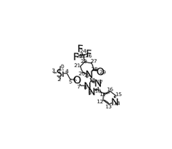 C[Si](C)(C)CCOCn1nc(-c2ccncc2)nc1N1CCC(C(F)(F)F)CC1=O